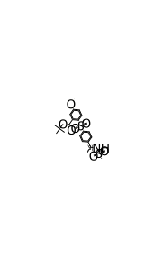 COc1ccc(S(=O)(=O)c2ccc([C@H](C)NS(C)(=O)=O)cc2)c(C(=O)OC(C)(C)C)c1